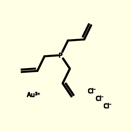 C=CCP(CC=C)CC=C.[Au+3].[Cl-].[Cl-].[Cl-]